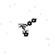 Cc1ccc(-c2ccc(CCS(=O)(=O)C(CCn3nnc4ccccc4c3=O)C(=O)O)cc2)cc1